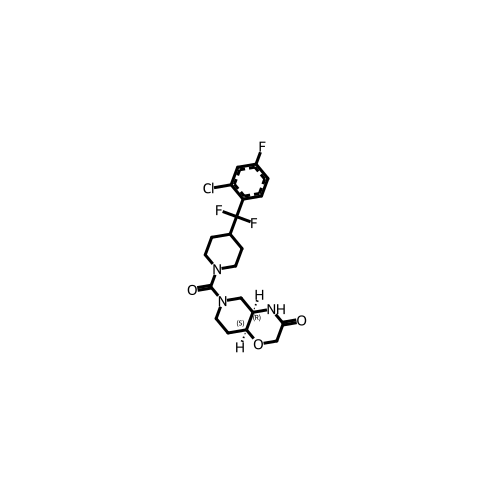 O=C1CO[C@H]2CCN(C(=O)N3CCC(C(F)(F)c4ccc(F)cc4Cl)CC3)C[C@H]2N1